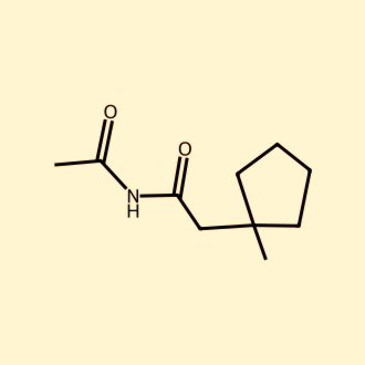 CC(=O)NC(=O)CC1(C)CCCC1